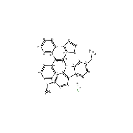 CCc1ccc2c(c1)[CH]([Zr+2]([C]1=CC=CC1)=[C](c1ccccc1)c1ccccc1)c1cc(CC)ccc1-2.[Cl-].[Cl-]